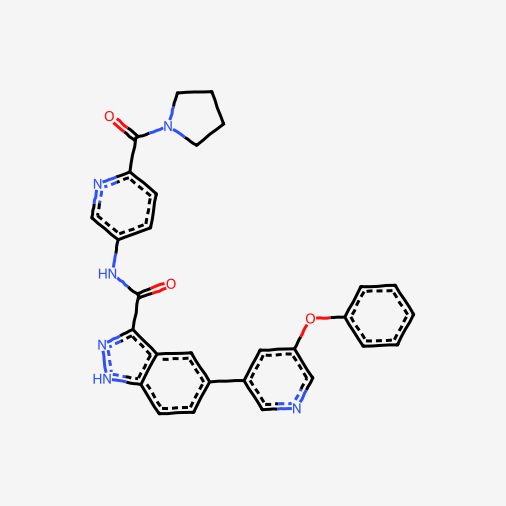 O=C(Nc1ccc(C(=O)N2CCCC2)nc1)c1n[nH]c2ccc(-c3cncc(Oc4ccccc4)c3)cc12